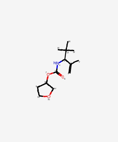 C=C(C)C(NC(=O)OC1CCOC1)C(C)(C)C